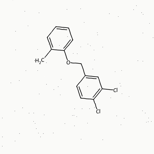 [CH2]c1ccccc1OCc1ccc(Cl)c(Cl)c1